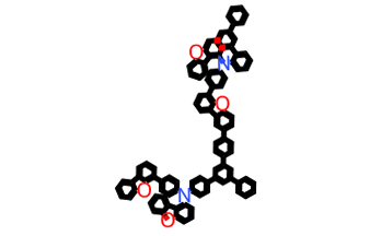 c1ccc(-c2cc(-c3ccc(-c4ccc5oc6c(-c7ccc(N(c8ccccc8-c8cccc(-c9ccccc9)c8)c8cccc9oc%10ccccc%10c89)cc7)cccc6c5c4)cc3)cc(-c3ccc(N(c4ccc(-c5cccc6c5oc5ccccc56)cc4)c4cccc5oc6ccccc6c45)cc3)c2)cc1